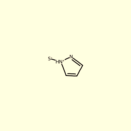 [S-][NH+]1C=CC=N1